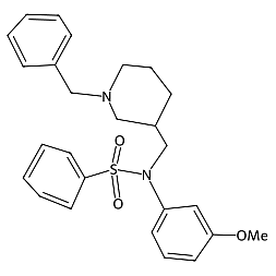 COc1cccc(N(CC2CCCN(Cc3ccccc3)C2)S(=O)(=O)c2ccccc2)c1